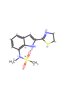 CN(c1cccc2cc(C3=NCCS3)[nH]c12)S(C)(=O)=O